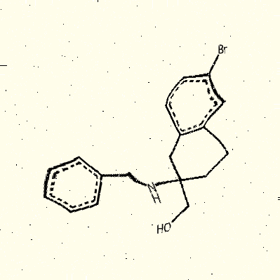 OCC1(NCc2ccccc2)CCc2cc(Br)ccc2C1